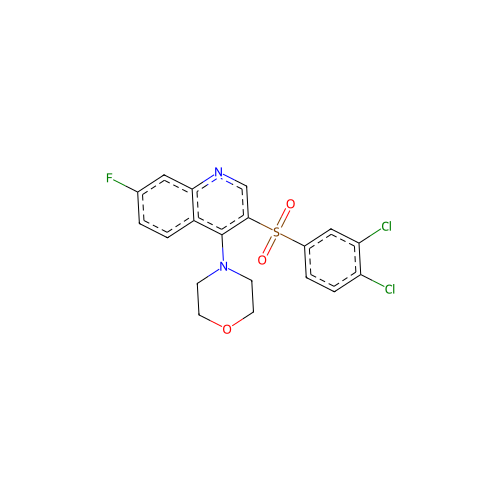 O=S(=O)(c1ccc(Cl)c(Cl)c1)c1cnc2cc(F)ccc2c1N1CCOCC1